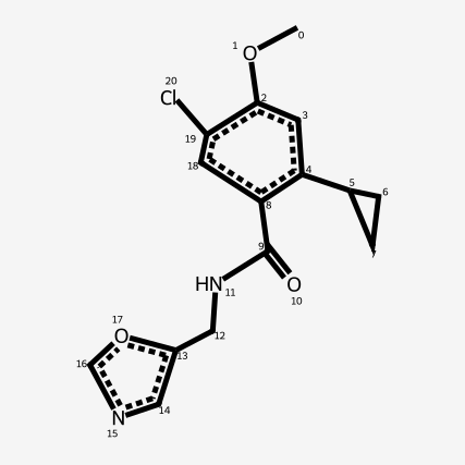 COc1cc(C2CC2)c(C(=O)NCc2cnco2)cc1Cl